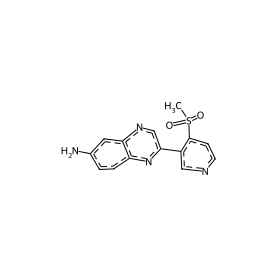 CS(=O)(=O)c1ccncc1-c1cnc2cc(N)ccc2n1